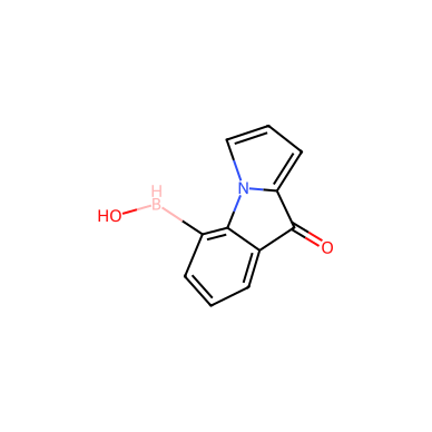 O=C1c2cccc(BO)c2-n2cccc21